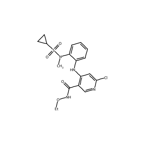 CCONC(=O)c1cnc(Cl)cc1Nc1ccccc1N(C)S(=O)(=O)C1CC1